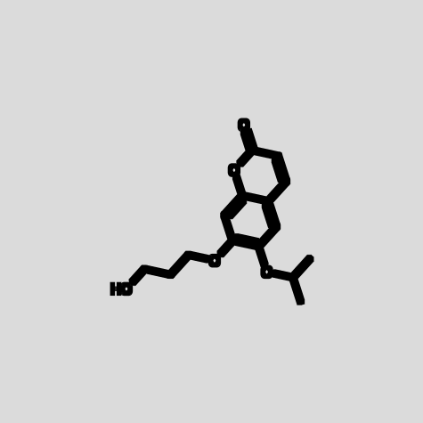 CC(C)Oc1cc2ccc(=O)oc2cc1OCCCO